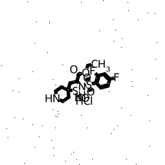 CCOC(=O)C(CC1(SN=O)CCNCC1)NS(=O)(=O)c1ccc(F)cc1F.Cl